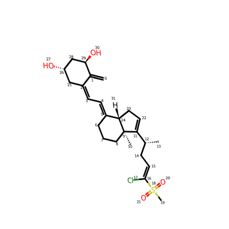 C=C1/C(=C\C=C2/CCC[C@]3(C)C([C@H](C)C/C=C(\Cl)S(C)(=O)=O)=CC[C@@H]23)C[C@H](O)C[C@H]1O